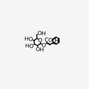 O=C(O)/C(=C\c1ccccc1)OC1OC(CO)C(O)C(O)C1O